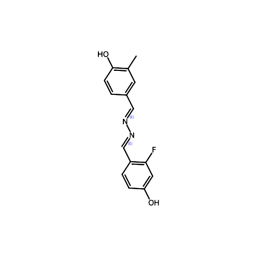 Cc1cc(/C=N/N=C/c2ccc(O)cc2F)ccc1O